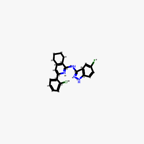 Fc1ccc2[nH]nc(Nc3nc(-c4ccccc4Cl)cc4c3CCCC4)c2c1